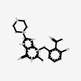 CC(=O)c1c(Cl)cccc1Cn1c(C)nc(=O)c2sc(N3CCOCC3)nc21